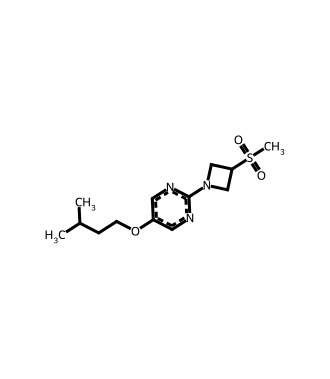 CC(C)CCOc1cnc(N2CC(S(C)(=O)=O)C2)nc1